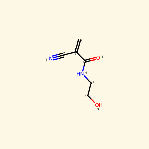 C=C(C#N)C(=O)NCCO